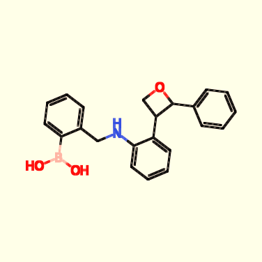 OB(O)c1ccccc1CNc1ccccc1C1COC1c1ccccc1